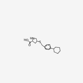 O=C(O)[C@@H]1C[C@H](SCc2ccc(C3CCCCC3)cc2)CN1